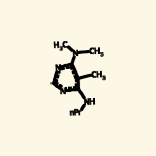 CCCNc1n[c]nc(N(C)C)c1C